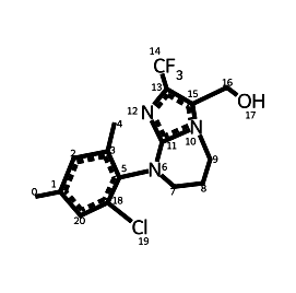 Cc1cc(C)c(N2CCCn3c2nc(C(F)(F)F)c3CO)c(Cl)c1